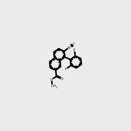 [C-]#[N+]c1ccc2ccc(C(=O)OC)cc2c1-c1c(F)cccc1F